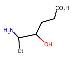 CCC(N)C(O)CCC(=O)O